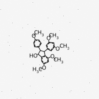 COc1ccc(C2C(O)c3cc(OC)cc(OC)c3C2c2cc(OC)cc(OC)c2)cc1